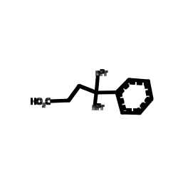 CCCC(CCC)(CCC(=O)O)c1ccccc1